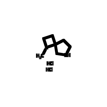 CN1CCC12CCNC2.Cl.Cl